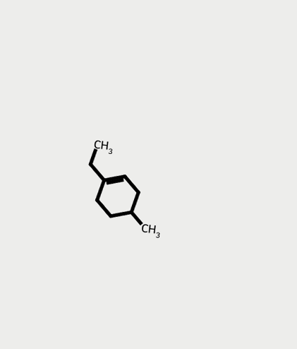 CCC1=CCC(C)CC1